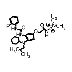 CC(C)CN(c1ccc(OCC(=O)NS(=O)(=O)N(C)C)cc1NC(=O)Nc1ccccc1F)C1CCCCC1